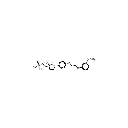 COc1cccc(OCCOc2ccc([C@@H]3CC[C@](N)(COP(=O)(O)O)C3)cc2)c1